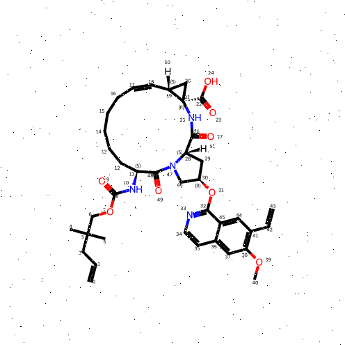 C=CCC(C)(C)COC(=O)N[C@H]1CCCCCC=C[C@@H]2C[C@@]2(C(=O)O)NC(=O)[C@@H]2C[C@@H](Oc3nccc4cc(OC)c(C=C)cc34)CN2C1=O